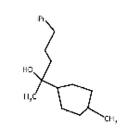 CC(C)CCCC(C)(O)C1CCC(C)CC1